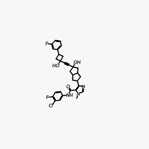 Cn1cnc(C2CC3CC(O)(C#CC4(O)CC(c5cccc(F)c5)C4)CC3C2)c1C(=O)Nc1ccc(F)c(Cl)c1